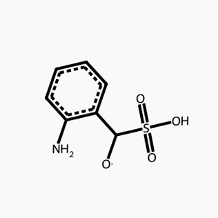 Nc1ccccc1C([O])S(=O)(=O)O